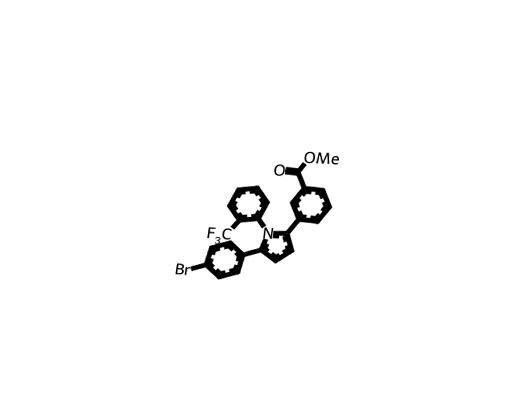 COC(=O)c1cccc(-c2ccc(-c3ccc(Br)cc3)n2-c2ccccc2C(F)(F)F)c1